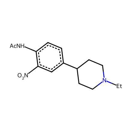 CCN1CCC(c2ccc(NC(C)=O)c([N+](=O)[O-])c2)CC1